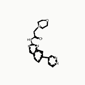 O=C(CN1CCOCC1)Nc1ncc2ccc(-c3ccnnc3)cc2n1